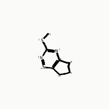 CSc1nnc2c(n1)CCC2